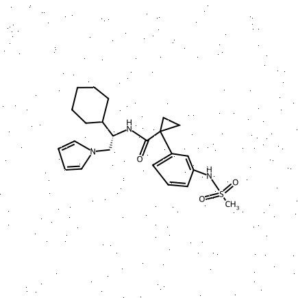 CS(=O)(=O)Nc1cccc(C2(C(=O)N[C@H](Cn3cccc3)C3CCCCC3)CC2)c1